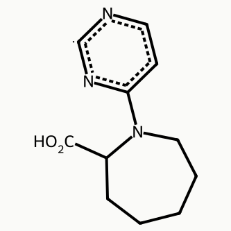 O=C(O)C1CCCCCN1c1ccn[c]n1